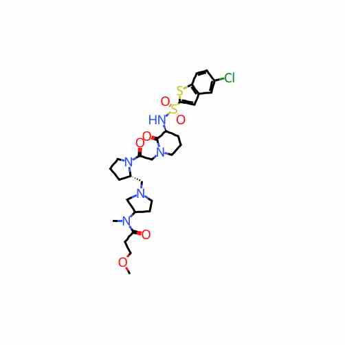 COCCC(=O)N(C)C1CCN(C[C@@H]2CCCN2C(=O)CN2CCC[C@H](NS(=O)(=O)c3cc4cc(Cl)ccc4s3)C2=O)C1